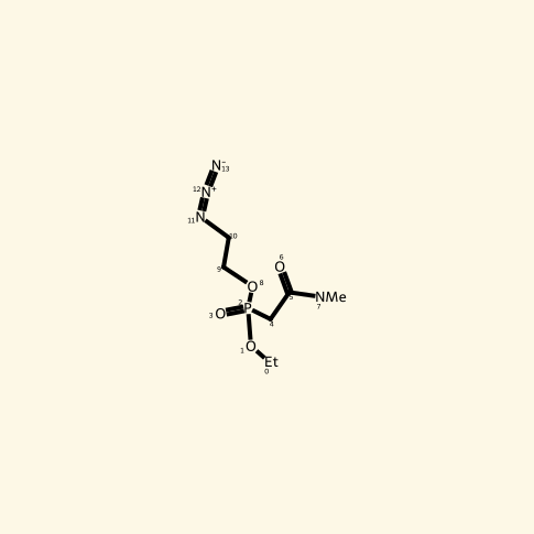 CCOP(=O)(CC(=O)NC)OCCN=[N+]=[N-]